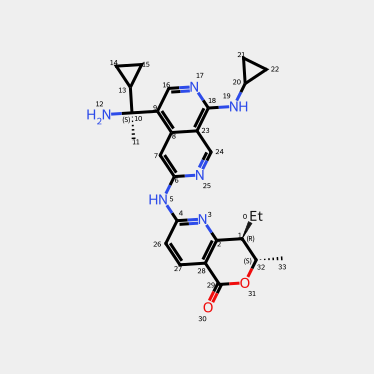 CC[C@@H]1c2nc(Nc3cc4c([C@@](C)(N)C5CC5)cnc(NC5CC5)c4cn3)ccc2C(=O)O[C@H]1C